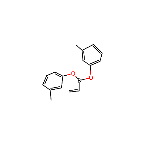 C=CB(Oc1cccc(C)c1)Oc1cccc(C)c1